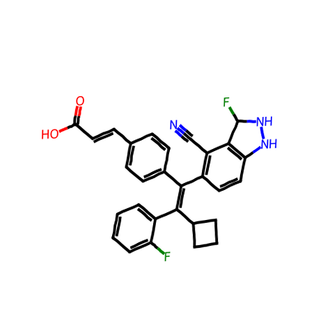 N#Cc1c(/C(=C(/c2ccccc2F)C2CCC2)c2ccc(/C=C/C(=O)O)cc2)ccc2c1C(F)NN2